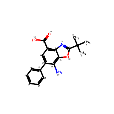 CC(C)(C)c1nc2c(C(=O)O)cc(-c3ccccc3)c(N)c2o1